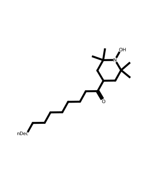 CCCCCCCCCCCCCCCCCC(=O)C1CC(C)(C)N(O)C(C)(C)C1